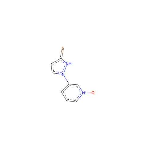 [O-][n+]1cccc(-n2ccc(=S)[nH]2)c1